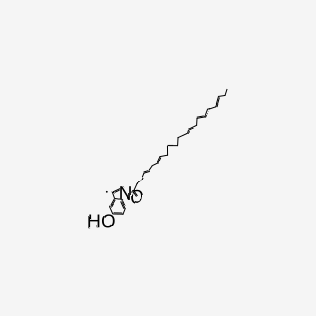 CC/C=C/C/C=C/C/C=C/C/C=C/C/C=C/C/C=C/CCC(=O)n1c[c]c2cc(O)ccc21